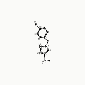 CN(C)c1cn(Cc2ccc(F)cc2)nn1